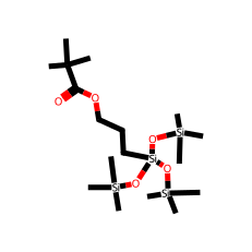 CC(C)(C)C(=O)OCCC[Si](O[Si](C)(C)C)(O[Si](C)(C)C)O[Si](C)(C)C